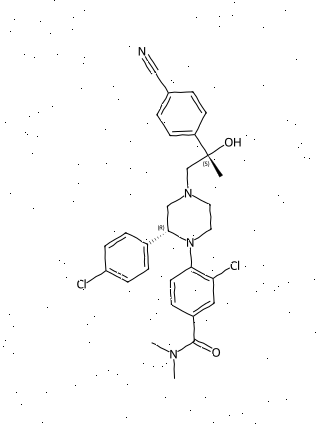 CN(C)C(=O)c1ccc(N2CCN(C[C@@](C)(O)c3ccc(C#N)cc3)C[C@H]2c2ccc(Cl)cc2)c(Cl)c1